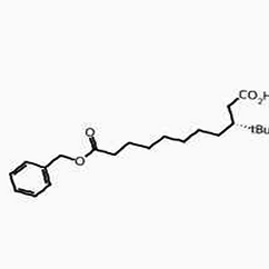 CC(C)(C)[C@H](CCCCCCCC(=O)OCc1ccccc1)CC(=O)O